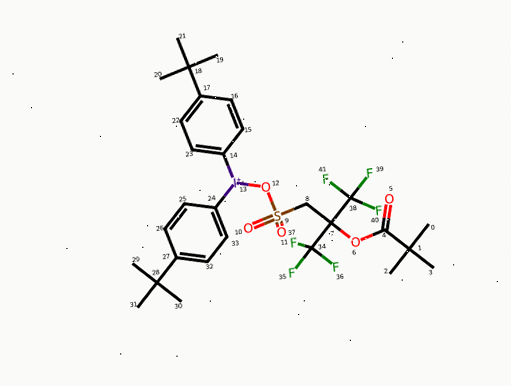 CC(C)(C)C(=O)OC(CS(=O)(=O)O[I+](c1ccc(C(C)(C)C)cc1)c1ccc(C(C)(C)C)cc1)(C(F)(F)F)C(F)(F)F